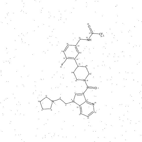 O=C(c1cn(CCN2CCCC2)c2cccnc12)N1CCC(c2cc(CNC(=O)C(F)(F)F)ccc2F)CC1